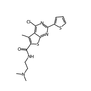 Cc1c(C(=O)NCCN(C)C)sc2nc(-c3cccs3)nc(Cl)c12